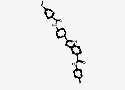 COc1ccc(C(=O)Nc2ccc(-c3cc4cc(C(=O)Nc5ccc(F)cc5)ccc4[nH]3)cc2)cc1